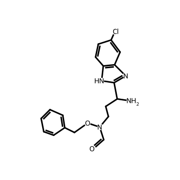 NC(CCN(C=O)OCc1ccccc1)c1nc2cc(Cl)ccc2[nH]1